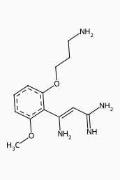 COc1cccc(OCCCN)c1/C(N)=C/C(=N)N